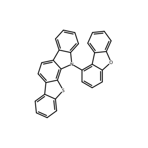 c1ccc2c(c1)oc1cccc(-n3c4ccccc4c4ccc5c6ccccc6sc5c43)c12